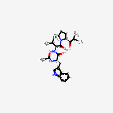 CC(=O)N[C@@H](Cc1c[nH]c2ccccc12)C(=O)N[C@H](C(=O)N1CCC[C@H]1C(=O)C(C)C)C(C)C